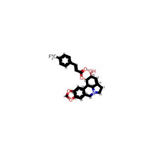 O=C(/C=C/c1ccc(C(F)(F)F)cc1)O[C@H]1C2c3cc4c(cc3CN3CCC(=C[C@@H]1O)C23)OCO4